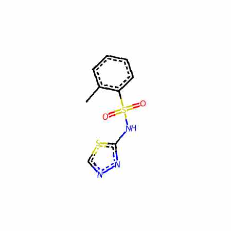 Cc1ccccc1S(=O)(=O)Nc1nncs1